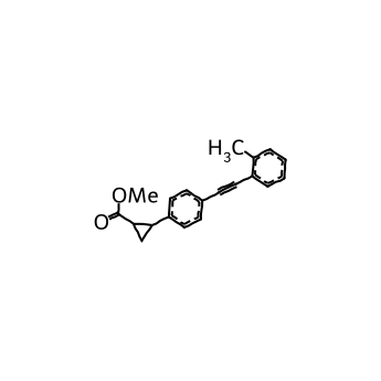 COC(=O)C1CC1c1ccc(C#Cc2ccccc2C)cc1